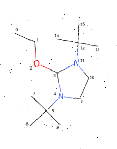 CCOC1N(C(C)(C)C)CCN1C(C)(C)C